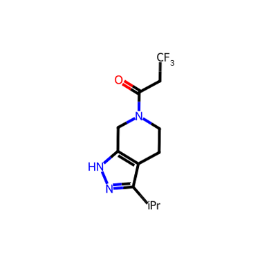 CC(C)c1n[nH]c2c1CCN(C(=O)CC(F)(F)F)C2